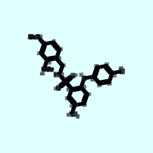 COc1ccc(CNS(=O)(=O)c2cc(N)ccc2Oc2ccc(Cl)cc2)c(OC)c1